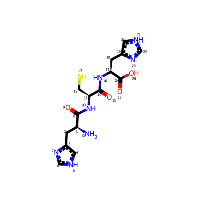 N[C@@H](Cc1c[nH]cn1)C(=O)N[C@@H](CS)C(=O)N[C@@H](Cc1c[nH]cn1)C(=O)O